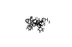 C[C@H]1CC[C@H](c2ccccc2)S(=O)(=O)N1Cc1cc(F)c(C2(C(=O)N3CCCC3)CCOCC2)cc1F